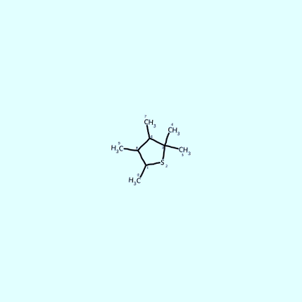 CC1SC(C)(C)C(C)C1C